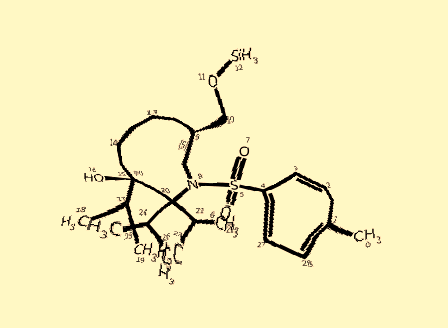 Cc1ccc(S(=O)(=O)N2[C@H](CO[SiH3])CC[C@@](O)(C(C)C)C2(C(C)C)C(C)C)cc1